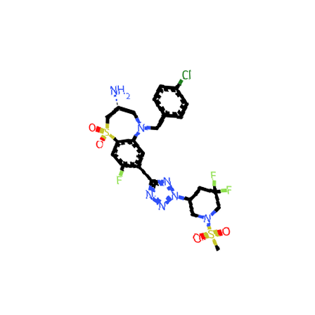 CS(=O)(=O)N1CC(n2nnc(-c3cc4c(cc3F)S(=O)(=O)C[C@H](N)CN4Cc3ccc(Cl)cc3)n2)CC(F)(F)C1